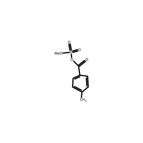 COS(=O)(=O)OC(=O)c1ccc(C)cc1